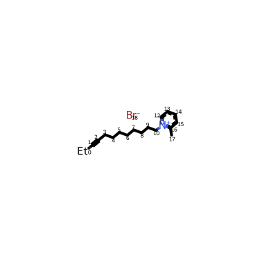 CCC#CCCCCCCCC[n+]1ccccc1C.[Br-]